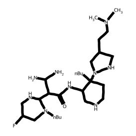 CCCCN1CC(F)CNC1C(C(=O)NC1CNCCC1(CCCC)N1CC(CCN(C)C)CN1)C(N)N